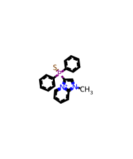 Cn1cc(P(=S)(c2ccccc2)c2ccccc2)[n+]2ccccc12